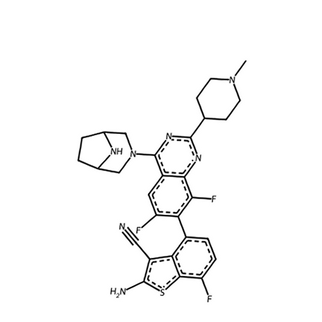 CN1CCC(c2nc(N3CC4CCC(C3)N4)c3cc(F)c(-c4ccc(F)c5sc(N)c(C#N)c45)c(F)c3n2)CC1